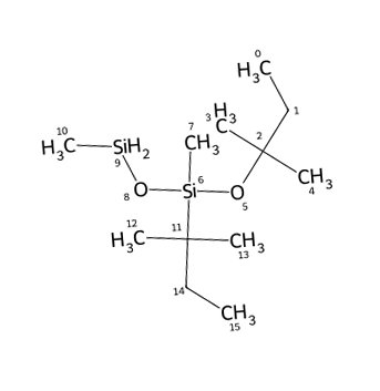 CCC(C)(C)O[Si](C)(O[SiH2]C)C(C)(C)CC